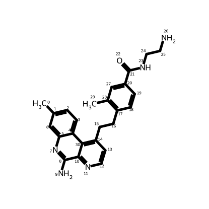 Cc1ccc2c(c1)nc(N)c1nccc(CCc3ccc(C(=O)NCCN)cc3C)c12